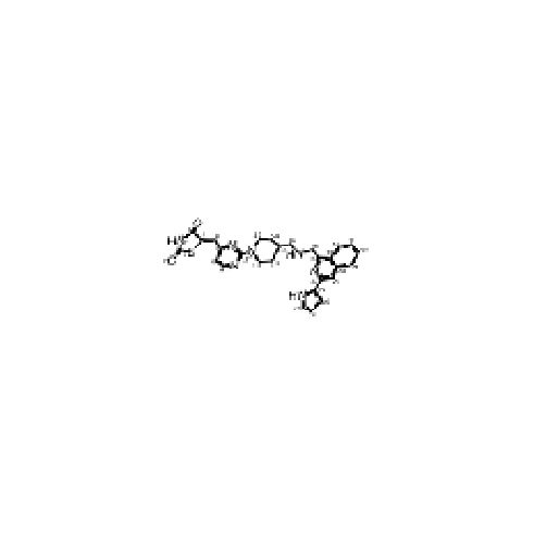 O=C1NC(=O)/C(=C/c2ccnc(N3CCC(CNCc4nc(-c5ccc[nH]5)cc5ccccc45)CC3)n2)S1